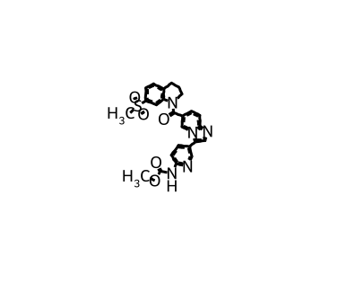 COC(=O)Nc1ccc(-c2cnc3ccc(C(=O)N4CCCc5ccc(S(C)(=O)=O)cc54)cn23)cn1